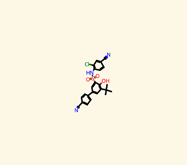 CC(C)(C)c1cc(-c2ccc(C#N)cc2)cc(S(=O)(=O)Nc2ccc(C#N)cc2Cl)c1O